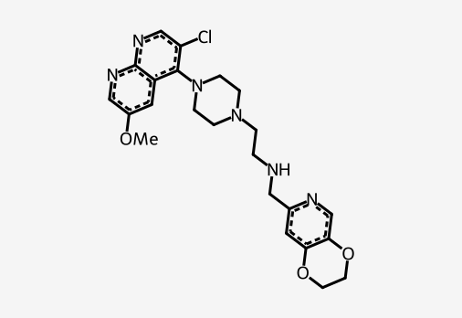 COc1cnc2ncc(Cl)c(N3CCN(CCNCc4cc5c(cn4)OCCO5)CC3)c2c1